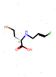 O=C(O)[C@H](CCS)NCC=CF